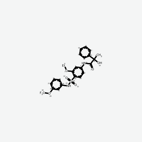 CCOc1cc(NC(=O)C(C)(O)c2ccccc2)ccc1S(=O)(=O)Nc1cccc(OC(F)(F)F)c1